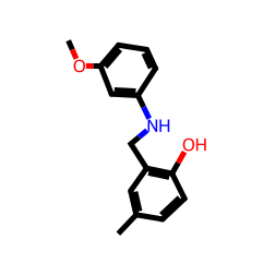 COc1cccc(NCc2cc(C)ccc2O)c1